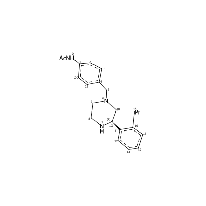 CC(=O)Nc1ccc(CN2CCN[C@H](c3ccccc3C(C)C)C2)cc1